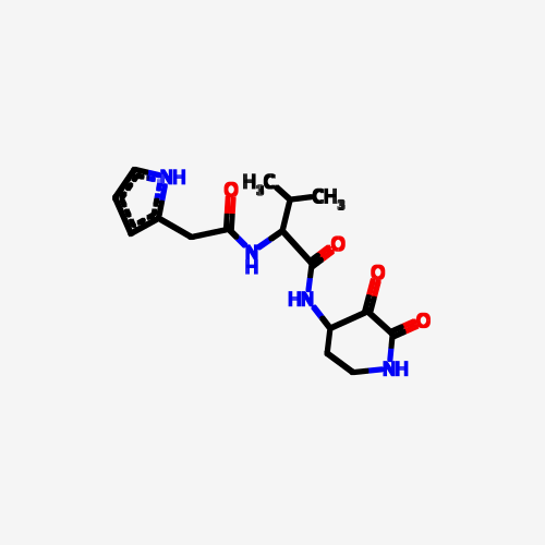 CC(C)C(NC(=O)Cc1ccc[nH]1)C(=O)NC1CCNC(=O)C1=O